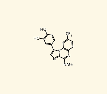 CNc1nc2ccc(C(F)(F)F)cc2n2c(-c3ccc(O)c(O)c3)cnc12